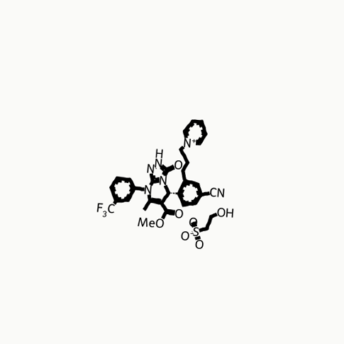 COC(=O)C1=C(C)N(c2cccc(C(F)(F)F)c2)c2n[nH]c(=O)n2[C@@H]1c1ccc(C#N)cc1CCC[n+]1ccccc1.O=S(=O)([O-])CCO